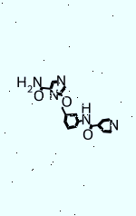 NC(=O)c1cncc(OCc2cccc(NC(=O)c3ccncc3)c2)n1